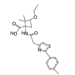 CCOC1CC(NC(=O)Cc2csc(-c3ccc(C)cc3)n2)(C(=O)O)C1(C)C